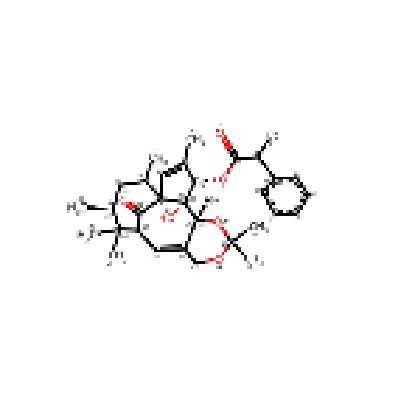 CCC(C(=O)O[C@H]1C(C)=CC23C(=O)C(C=C4COC(C)(C)O[C@H]4[C@]12O)C(C)(C)[C@@H](C)CC3C)c1ccccc1